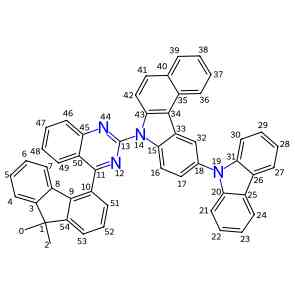 CC1(C)c2ccccc2-c2c(-c3nc(-n4c5ccc(-n6c7ccccc7c7ccccc76)cc5c5c6ccccc6ccc54)nc4ccccc34)cccc21